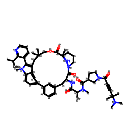 CO[C@@H](C)c1ncccc1-c1c2c3cc(ccc3n1C)-c1cccc(c1)C[C@H](NC(=O)[C@H](C(C)C)N(C)C(=O)[C@H]1CCN(C(=O)C#CC(C)(C)N(C)C)C1)C(=O)N1CCC[C@H](N1)C(=O)OCC(C)(C)C2